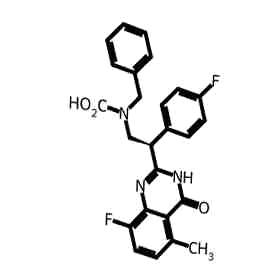 Cc1ccc(F)c2nc([C@@H](CN(Cc3ccccc3)C(=O)O)c3ccc(F)cc3)[nH]c(=O)c12